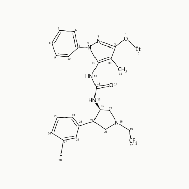 CCOc1nn(-c2ccccc2)c(NC(=O)N[C@H]2CN(CC(F)(F)F)CC2c2cccc(F)c2)c1C